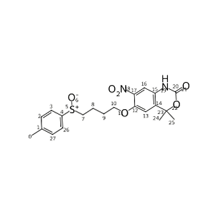 Cc1ccc([S+]([O-])CCCCOc2cc3c(cc2[N+](=O)[O-])NC(=O)OC3(C)C)cc1